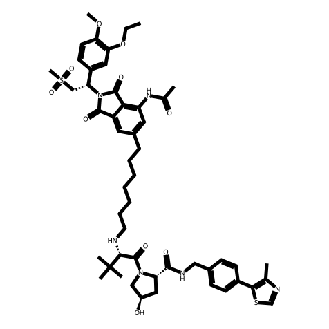 CCOc1cc([C@@H](CS(C)(=O)=O)N2C(=O)c3cc(CCCCCCCN[C@H](C(=O)N4C[C@H](O)C[C@H]4C(=O)NCc4ccc(-c5scnc5C)cc4)C(C)(C)C)cc(NC(C)=O)c3C2=O)ccc1OC